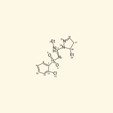 CCN/C(=N\S(=O)(=O)c1ccccc1Cl)N1N=CCC1CC